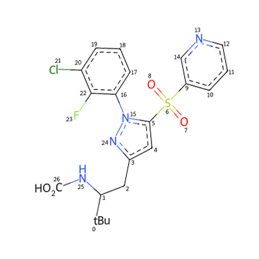 CC(C)(C)C(Cc1cc(S(=O)(=O)c2cccnc2)n(-c2cccc(Cl)c2F)n1)NC(=O)O